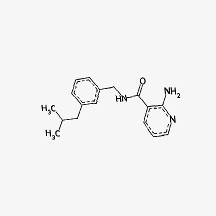 CC(C)Cc1cccc(CNC(=O)c2cccnc2N)c1